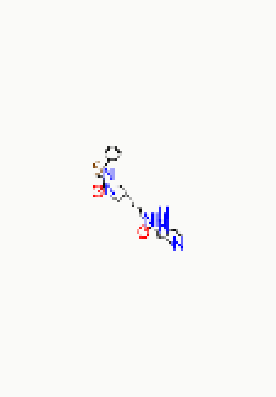 O=C(NCCCCC1CCN(C(=O)c2csc(-c3ccccc3)n2)CC1)c1cc2cnccc2[nH]1